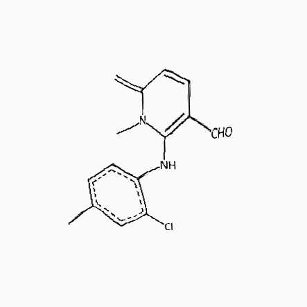 C=C1C=CC(C=O)=C(Nc2ccc(C)cc2Cl)N1C